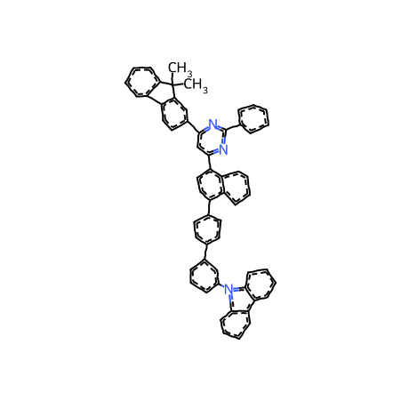 CC1(C)c2ccccc2-c2ccc(-c3cc(-c4ccc(-c5ccc(-c6cccc(-n7c8ccccc8c8ccccc87)c6)cc5)c5ccccc45)nc(-c4ccccc4)n3)cc21